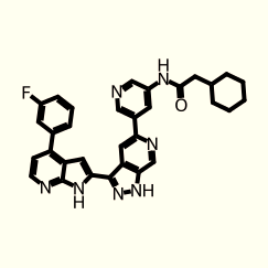 O=C(CC1CCCCC1)Nc1cncc(-c2cc3c(-c4cc5c(-c6cccc(F)c6)ccnc5[nH]4)n[nH]c3cn2)c1